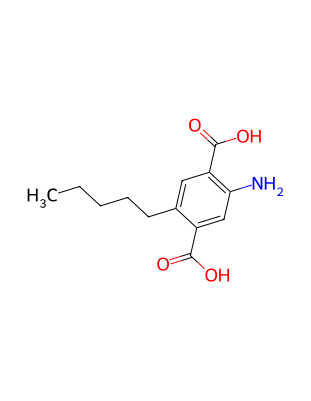 CCCCCc1cc(C(=O)O)c(N)cc1C(=O)O